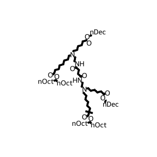 CCCCCCCCCCCOC(=O)CCCCCN(CCCCCCCC(=O)OC(CCCCCCCC)CCCCCCCC)CCNC(=O)CCC(=O)NCCN(CCCCCCC(C)(C)C(=O)OC(CCCCCCCC)CCCCCCCC)CCCCCC(=O)OCCCCCCCCCCC